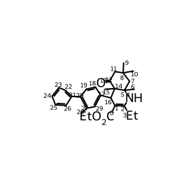 CCOC(=O)C1=C(CC)NC2(C)CC(C)(C)CC(=O)C2(C)C1c1ccc(-c2ccccc2)c(C)c1